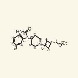 CCOC[C@H]1C[C@](C)(N2CCC(n3c(=O)[nH]c4ccc(C)cc43)CC2)C1